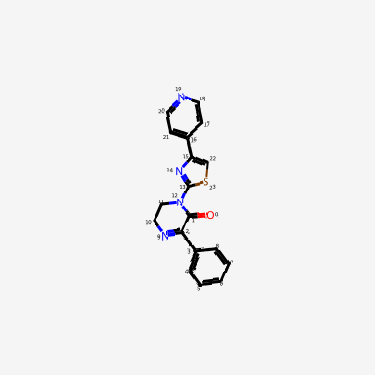 O=C1C(c2ccccc2)=NCCN1c1nc(-c2ccncc2)cs1